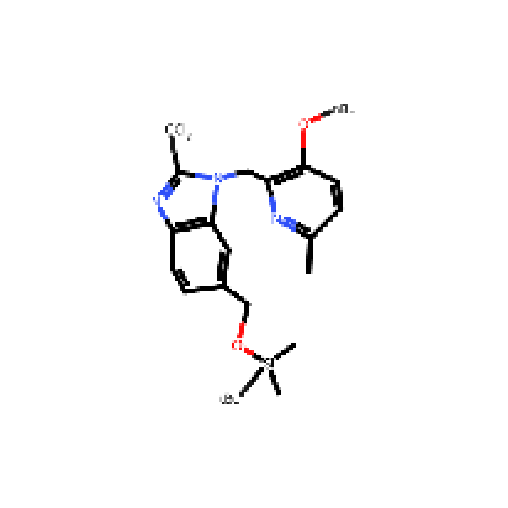 CCCCOc1ccc(C)nc1Cn1c(C(Cl)(Cl)Cl)nc2ccc(CO[Si](C)(C)C(C)(C)C)cc21